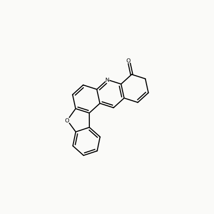 O=C1CC=Cc2cc3c(ccc4oc5ccccc5c43)nc21